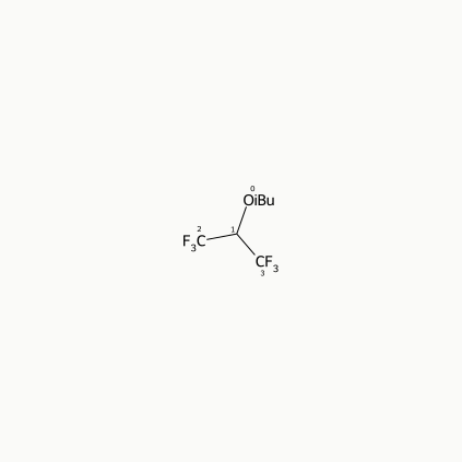 CC(C)COC(C(F)(F)F)C(F)(F)F